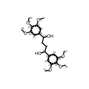 COc1cc(C(O)CCC(O)c2cc(OC)c(OC)c(OC)c2)cc(OC)c1OC